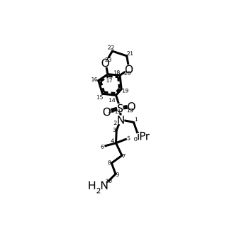 CC(C)CN(CC(C)(C)CCCN)S(=O)(=O)c1ccc2c(c1)OCCO2